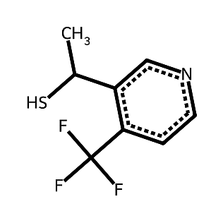 CC(S)c1cnccc1C(F)(F)F